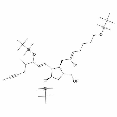 CC#CCC(C)C(/C=C/[C@H]1[C@H](O[Si](C)(C)C(C)(C)C)CC(CO)[C@@H]1C/C(Br)=C/CCCCO[Si](C)(C)C(C)(C)C)O[Si](C)(C)C(C)(C)C